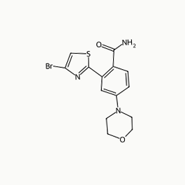 NC(=O)c1ccc(N2CCOCC2)cc1-c1nc(Br)cs1